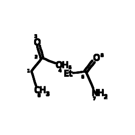 CCC(=O)O.CCC(N)=O